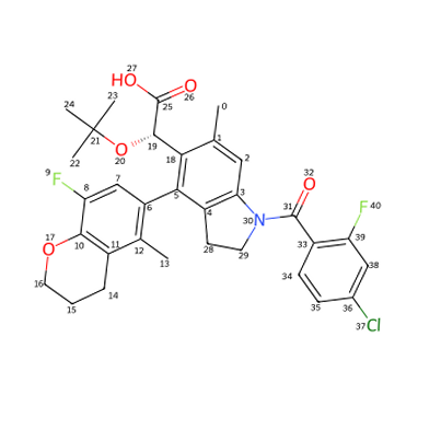 Cc1cc2c(c(-c3cc(F)c4c(c3C)CCCO4)c1[C@H](OC(C)(C)C)C(=O)O)CCN2C(=O)c1ccc(Cl)cc1F